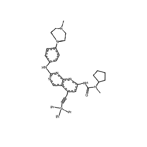 CC(C)[Si](C#Cc1cc(NC(=O)N(C)C2CCCC2)nc2nc(Nc3ccc(N4CCN(C)CC4)cc3)ncc12)(C(C)C)C(C)C